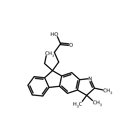 CCC1(CCC(=O)O)c2ccccc2-c2cc3c(cc21)N=C(C)C3(C)C